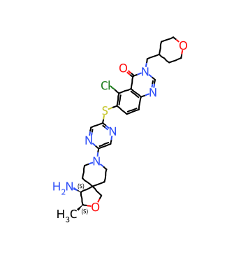 C[C@@H]1OCC2(CCN(c3cnc(Sc4ccc5ncn(CC6CCOCC6)c(=O)c5c4Cl)cn3)CC2)[C@@H]1N